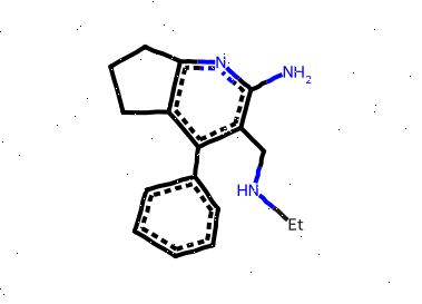 CCNCc1c(N)nc2c(c1-c1ccccc1)CCC2